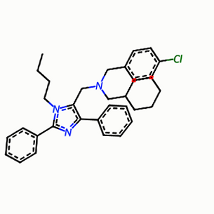 CCCCn1c(-c2ccccc2)nc(-c2ccccc2)c1CN(Cc1ccc(Cl)cc1)CC1CCCCC1